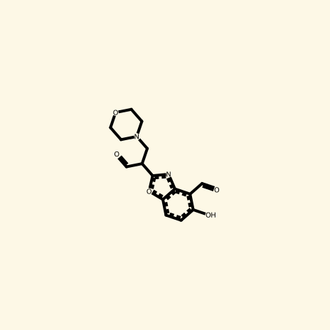 O=Cc1c(O)ccc2oc(C(C=O)CN3CCOCC3)nc12